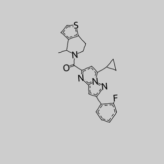 CC1c2ccsc2CCN1C(=O)c1cc(C2CC2)n2nc(-c3ccccc3F)cc2n1